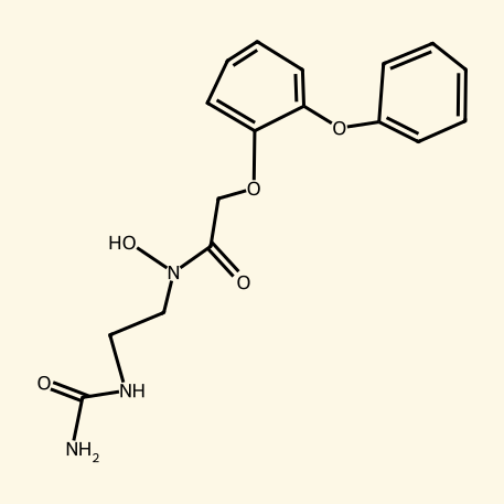 NC(=O)NCCN(O)C(=O)COc1ccccc1Oc1ccccc1